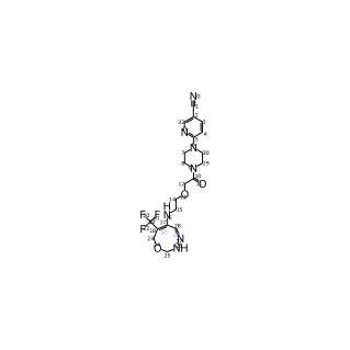 N#Cc1ccc(N2CCN(C(=O)COCCNC3=C(\C(F)(F)F)COCN/N=C\3)CC2)nc1